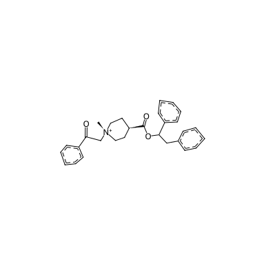 C[N@+]1(CC(=O)c2ccccc2)CC[C@H](C(=O)OC(Cc2ccccc2)c2ccccc2)CC1